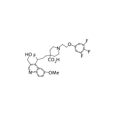 COc1ccc2ncc(CO)c(C(F)CCC3(C(=O)O)CCN(CCOc4cc(F)c(F)c(F)c4)CC3)c2c1